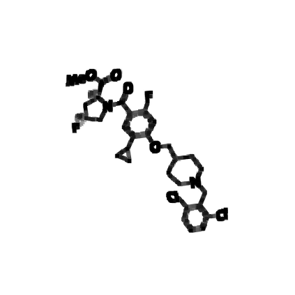 COC(=O)[C@@H]1C[C@@H](F)CN1C(=O)c1cc(C2CC2)c(OCC2CCN(Cc3c(Cl)cccc3Cl)CC2)cc1F